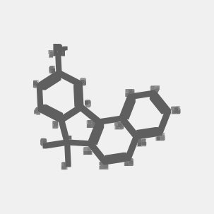 CC1(C)c2ccc(Br)cc2-c2c1ccc1ccccc21